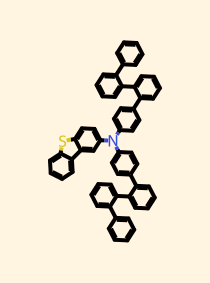 c1ccc(-c2ccccc2-c2ccccc2-c2ccc(N(c3ccc(-c4ccccc4-c4ccccc4-c4ccccc4)cc3)c3ccc4sc5ccccc5c4c3)cc2)cc1